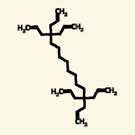 C=CCC(CC=C)(CC=C)CCCCCCCCC(CC=C)(CC=C)CC=C